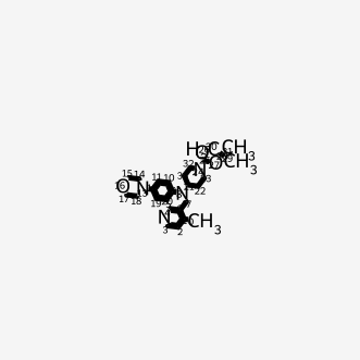 Cc1ccncc1CN(c1ccc(N2CCOCC2)cc1)C1CCN(C(=O)OC(C)(C)C)CC1